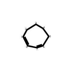 C1=CCCCCC=C1